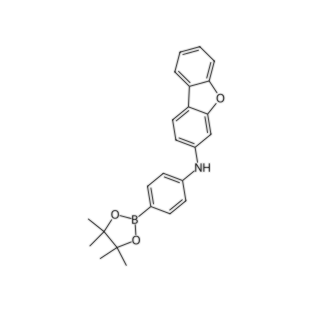 CC1(C)OB(c2ccc(Nc3ccc4c(c3)oc3ccccc34)cc2)OC1(C)C